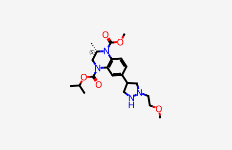 COCCN1CC(c2ccc3c(c2)N(C(=O)OC(C)C)C[C@H](C)N3C(=O)OC)CN1